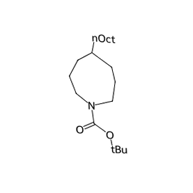 CCCCCCCCC1CCCN(C(=O)OC(C)(C)C)CCC1